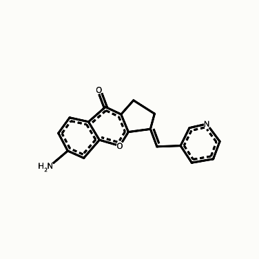 Nc1ccc2c(=O)c3c(oc2c1)C(=Cc1cccnc1)CC3